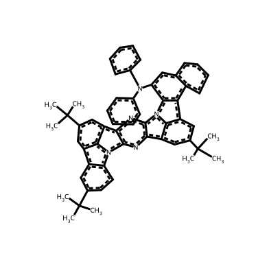 CC(C)(C)c1ccc2c(c1)c1cc(C(C)(C)C)cc3c4nc5c(nc4n2c13)c1cc(C(C)(C)C)cc2c3c4ccccc4cc(N(c4ccccc4)c4ccccc4)c3n5c12